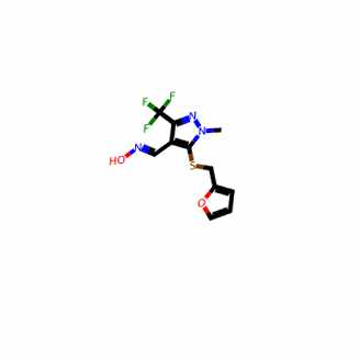 Cn1nc(C(F)(F)F)c(C=NO)c1SCc1ccco1